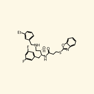 CCc1cccc(CNC[C@H](O)[C@H](Cc2cc(F)cc(F)c2)NC(=O)CCSc2nc3ccccc3o2)c1